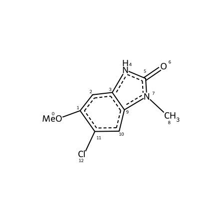 COc1cc2[nH]c(=O)n(C)c2cc1Cl